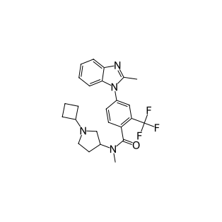 Cc1nc2ccccc2n1-c1ccc(C(=O)N(C)C2CCN(C3CCC3)C2)c(C(F)(F)F)c1